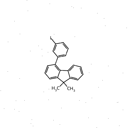 CC1(C)c2ccccc2-c2c(-c3cccc(I)c3)cccc21